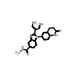 CNC(=O)c1ccc2c(c1)nc(/C(C=N)=C/N)n2-c1ccc2c(c1)CCC(=O)N2